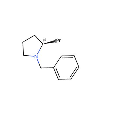 CC(C)[C@@H]1CCCN1Cc1ccccc1